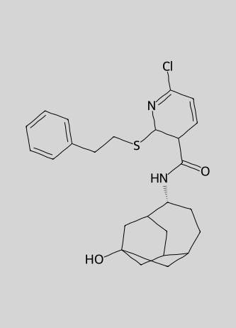 O=C(N[C@@H]1CCC2CC3(O)CC2CC1C3)C1C=CC(Cl)=NC1SCCc1ccccc1